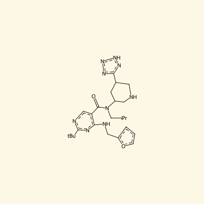 CC(C)CN(C(=O)c1cnc(C(C)(C)C)nc1NCc1ccco1)C1CNCC(c2nn[nH]n2)C1